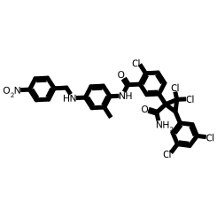 Cc1cc(NCc2ccc([N+](=O)[O-])cc2)ccc1NC(=O)c1cc(C2(C(N)=O)C(c3cc(Cl)cc(Cl)c3)C2(Cl)Cl)ccc1Cl